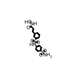 NS(=O)(=O)c1ccc(NS(=O)(=O)c2cccc(/C=C/C(=O)NO)c2)cc1